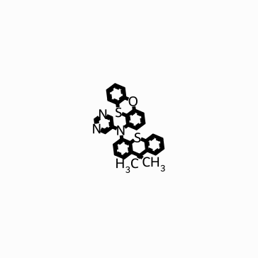 CC1(C)c2ccccc2Sc2c(N(c3cncnc3)c3cccc4c3Sc3ccccc3O4)cccc21